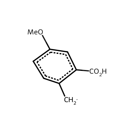 [CH2]c1ccc(OC)cc1C(=O)O